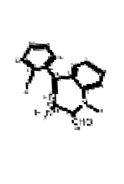 CN1c2ccccc2C(c2ccccc2F)=NC(N)C1C=O